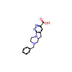 O=C(O)c1cc2c(nn1)N1CCN(Cc3ccccc3)CC1C2